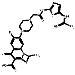 CC1Sc2c(C(=O)O)c(=O)c3cc(F)c(N4CCN(CC(=O)Nc5ncc(NC(=N)N)s5)CC4)cc3n21